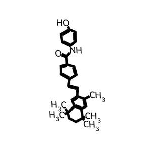 Cc1cc2c(cc1C=Cc1ccc(C(=O)Nc3ccc(O)cc3)cc1)C(C)(C)CCC2(C)C